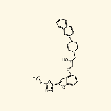 CSc1nnc(-c2cc3c(OC[C@@H](O)CN4CCC(c5ccc6ccccc6c5)CC4)cccc3o2)o1